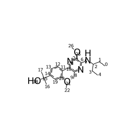 CCC(CC)Nc1nc(C)c(-c2ccc(C(C)(C)O)cc2OC)nc1OC